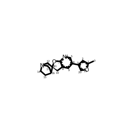 Cc1cc(-c2cnc3c(c2)C[C@@]2(CN4CCC2CC4)O3)co1